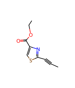 CC#Cc1nc(C(=O)OCC)cs1